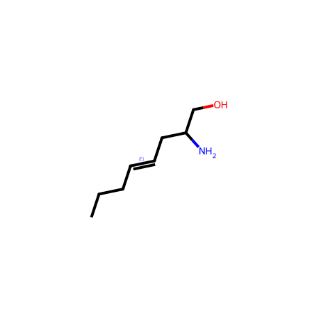 CCC/C=C/CC(N)CO